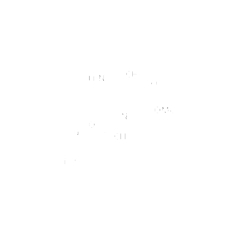 COC(=O)c1nc(C2(C)CC(C)=NO2)cc(N)c1C